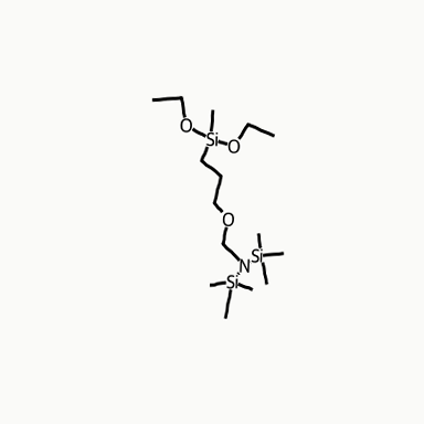 CCO[Si](C)(CCCOCN([Si](C)(C)C)[Si](C)(C)C)OCC